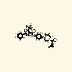 O=C(Nc1ccc(N2CCCN(C(=O)C3CC3)CC2)cc1)c1nc(-c2ccccc2)oc1C(F)(F)F